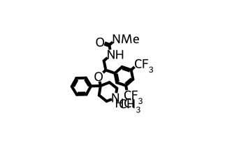 CNC(=O)NCC(OC1(c2ccccc2)CCN(C)CC1)c1cc(C(F)(F)F)cc(C(F)(F)F)c1.Cl